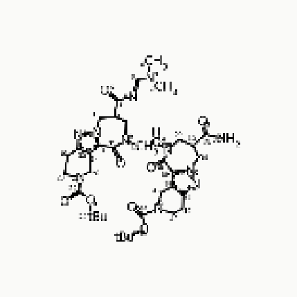 CN(C)C=NC(=O)C1CN(C)C(=O)c2c3c(nn2C1)CCN(C(=O)OC(C)(C)C)C3.CN1CC(C(N)=O)Cn2nc3c(c2C1=O)CN(C(=O)OC(C)(C)C)CC3